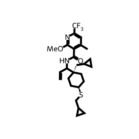 C=CC(NC(=O)c1c(C)cc(C(F)(F)F)nc1OC)[C@]1(CC2CC2)CC[C@H](SCC2CC2)CC1